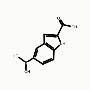 O=C(O)c1cc2cc(B(O)O)ccc2[nH]1